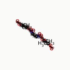 CC(C)(c1ccc(OCC2CO2)cc1)c1ccc(OCC2CN(c3ccc(Cc4ccc(N5CC(COc6ccc(C(C)(C)c7ccc(OCC8CO8)cc7)cc6)OC5=O)cc4)cc3)C(=O)O2)cc1